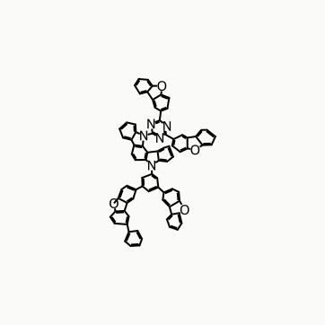 c1ccc(-c2ccc3oc4ccc(-c5cc(-c6ccc7oc8ccccc8c7c6)cc(-n6c7ccccc7c7c6ccc6c8ccccc8n(-c8nc(-c9ccc%10oc%11ccccc%11c%10c9)nc(-c9ccc%10oc%11ccccc%11c%10c9)n8)c67)c5)cc4c3c2)cc1